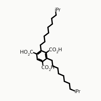 CC(C)CCCCCCCCc1c(C(=O)O)cc(C(=O)O)c(CCCCCCCCC(C)C)c1C(=O)O